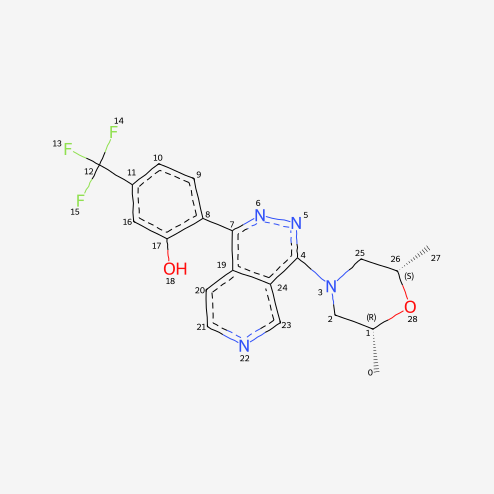 C[C@@H]1CN(c2nnc(-c3ccc(C(F)(F)F)cc3O)c3ccncc23)C[C@H](C)O1